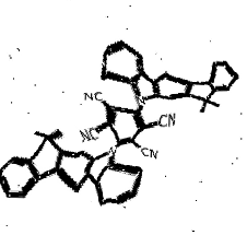 CC1(C)c2ccccc2-c2cc3c4ccccc4n(-c4c(C#N)c(C#N)c(-n5c6ccccc6c6cc7c(cc65)C(C)(C)c5ccccc5-7)c(C#N)c4C#N)c3cc21